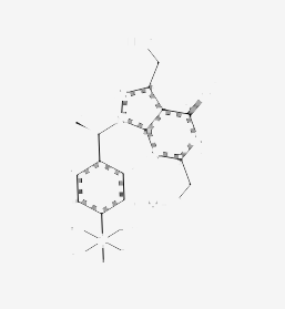 COCc1nc2c(c(CO)nn2[C@H](C)c2ccc(S(F)(F)(F)(F)F)cc2)c(=O)[nH]1